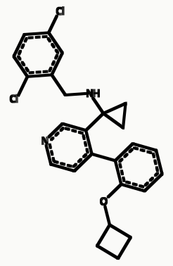 Clc1ccc(Cl)c(CNC2(c3cnccc3-c3ccccc3OC3CCC3)CC2)c1